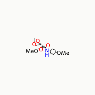 COCO[C@H](C[C@H]1COC(C)(C)O1)C(=O)Nc1ccc(OC)cc1